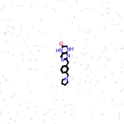 O=C1CNc2nc(Cc3cccc(CN4CCCC4)c3)ncc2N1